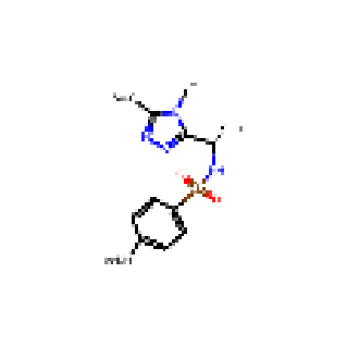 CCn1c(OC)nnc1[C@H](C)NS(=O)(=O)c1ccc(NC(C)=O)cc1